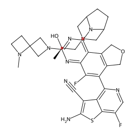 C[C@@H](O)CN1CC2CCC(C1)N2c1nc(N2CC3(CCN3C)C2)nc2c(F)c(-c3ncc(F)c4sc(N)c(C#N)c34)c3c(c12)COC3